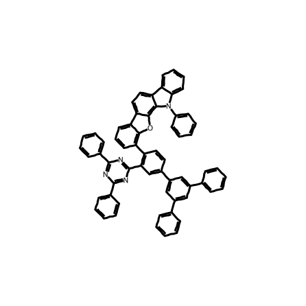 c1ccc(-c2cc(-c3ccccc3)cc(-c3ccc(-c4cccc5c4oc4c5ccc5c6ccccc6n(-c6ccccc6)c54)c(-c4nc(-c5ccccc5)nc(-c5ccccc5)n4)c3)c2)cc1